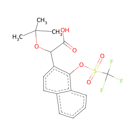 CC(C)(C)OC(C(=O)O)c1ccc2ccccc2c1OS(=O)(=O)C(F)(F)F